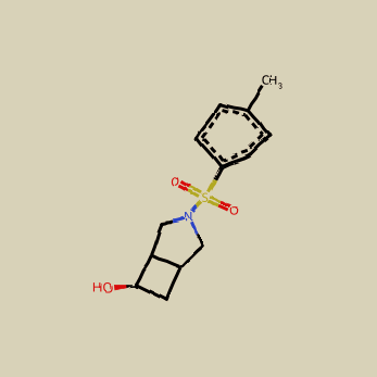 Cc1ccc(S(=O)(=O)N2CC3C[C@@H](O)C3C2)cc1